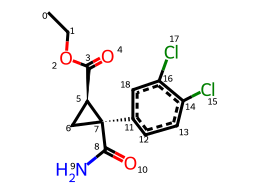 CCOC(=O)[C@@H]1C[C@@]1(C(N)=O)c1ccc(Cl)c(Cl)c1